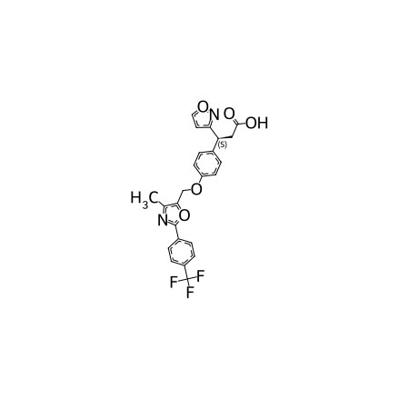 Cc1nc(-c2ccc(C(F)(F)F)cc2)oc1COc1ccc([C@H](CC(=O)O)c2ccon2)cc1